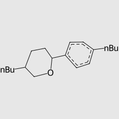 CCCCc1ccc(C2CCC(CCCC)CO2)cc1